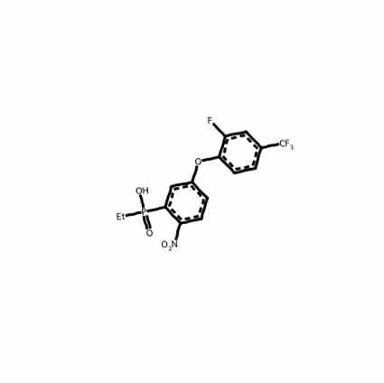 CCP(=O)(O)c1cc(Oc2ccc(C(F)(F)F)cc2F)ccc1[N+](=O)[O-]